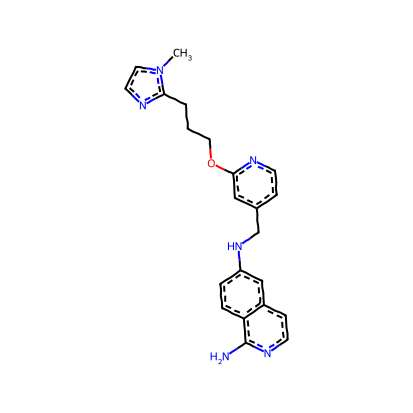 Cn1ccnc1CCCOc1cc(CNc2ccc3c(N)nccc3c2)ccn1